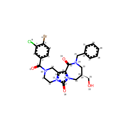 O=C(c1ccc(Br)c(Cl)c1)N1CCn2c(c3n(c2=O)C[C@@H](CO)CN(Cc2ccccc2)C3=O)C1